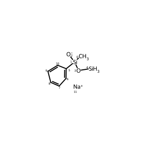 C[Si]([O-])(O[SiH3])c1ccccc1.[Na+]